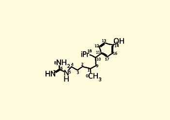 CC(CCCNC(=N)N)CC(c1ccc(O)cc1)C(C)C